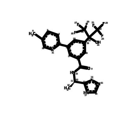 Cc1ccc(-c2cc(C(=O)N[C@@H](C)c3nnc[nH]3)cc(C(O)(C(F)(F)F)C(F)(F)F)c2)nc1